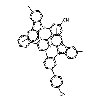 Cc1ccc2c(c1)c1cc(C)ccc1n2-c1cc(C#N)ccc1-c1nc(-c2ccccc2)nc(-c2ccc(-c3ccc(C#N)cc3)cc2-n2c3ccc(C)cc3c3cc(C)ccc32)n1